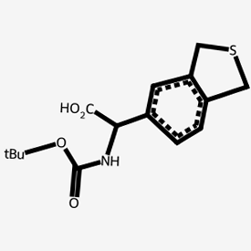 CC(C)(C)OC(=O)NC(C(=O)O)c1ccc2c(c1)CSC2